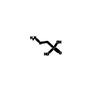 N[N]CP(=O)(O)O